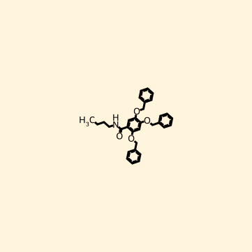 CCCCNC(=O)c1cc(OCc2ccccc2)c(OCc2ccccc2)cc1OCc1ccccc1